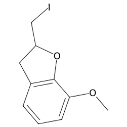 COc1cccc2c1OC(CI)C2